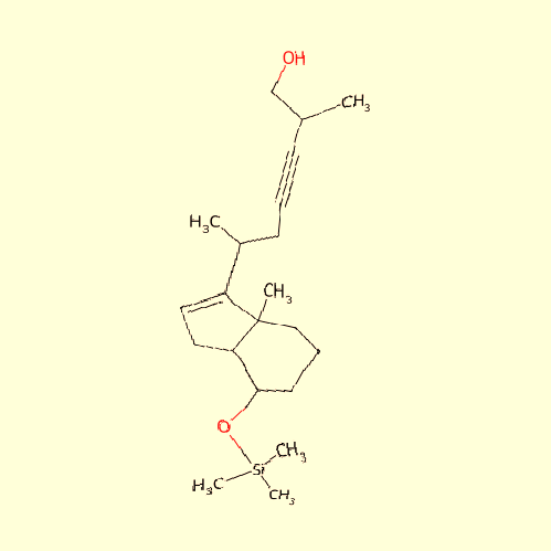 CC(C#CCC(C)C1=CCC2C(O[Si](C)(C)C)CCCC12C)CO